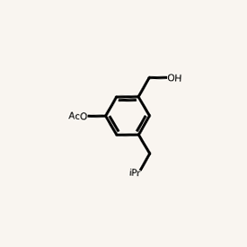 CC(=O)Oc1cc(CO)cc(CC(C)C)c1